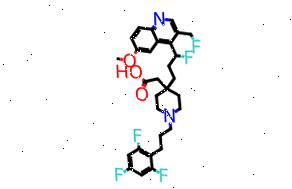 COc1ccc2ncc(CF)c(C(F)CCC3(CC(=O)O)CCN(CCCc4c(F)cc(F)cc4F)CC3)c2c1